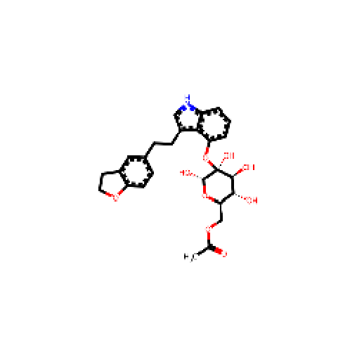 CC(=O)OC[C@H]1O[C@H](O)[C@@](O)(Oc2cccc3[nH]cc(CCc4ccc5c(c4)CCO5)c23)[C@@H](O)[C@@H]1O